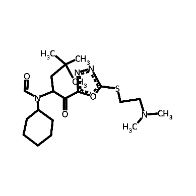 CN(C)CCSc1nnc(C(=O)C(CC(C)(C)C)N(C=O)C2CCCCC2)o1